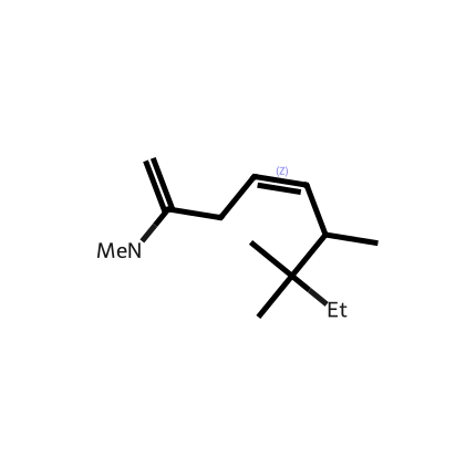 C=C(C/C=C\C(C)C(C)(C)CC)NC